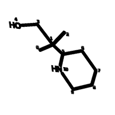 CC(C)(CO)C1CCCCN1